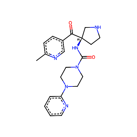 Cc1ccc(C(=O)[C@@]2(NC(=O)N3CCN(c4ccccn4)CC3)CCNC2)cn1